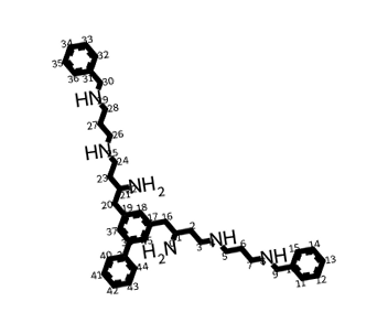 NC(CCNCCCNCc1ccccc1)Cc1cc(CC(N)CCNCCCNCc2ccccc2)cc(-c2ccccc2)c1